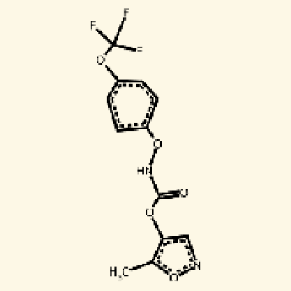 Cc1oncc1OC(=O)NOc1ccc(OC(F)(F)F)cc1